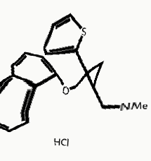 CNCC1CC1(Oc1cccc2ccccc12)c1cccs1.Cl